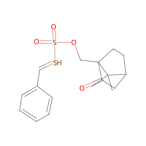 CC1(C)C2CCC1(COS(=O)(=O)[SH]=Cc1ccccc1)C(=O)C2